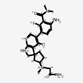 CN(C)C(=O)c1c(N)ccc(-c2cnc3c(c2Cl)C2(CCC(N(C)CC(N)=O)C2)CN3)c1F